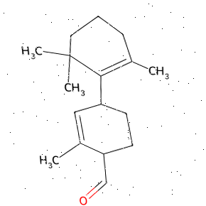 CC1=CC(C2=C(C)CCCC2(C)C)CCC1C=O